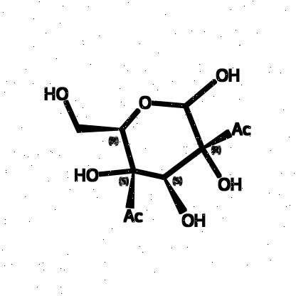 CC(=O)[C@@]1(O)[C@@H](CO)OC(O)[C@@](O)(C(C)=O)[C@H]1O